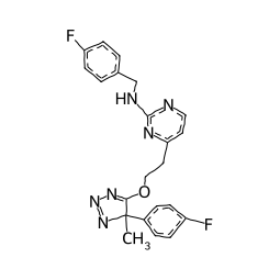 CC1(c2ccc(F)cc2)N=NN=C1OCCc1ccnc(NCc2ccc(F)cc2)n1